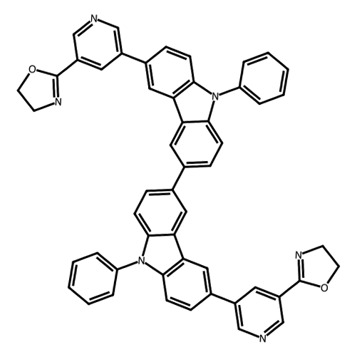 c1ccc(-n2c3ccc(-c4cncc(C5=NCCO5)c4)cc3c3cc(-c4ccc5c(c4)c4cc(-c6cncc(C7=NCCO7)c6)ccc4n5-c4ccccc4)ccc32)cc1